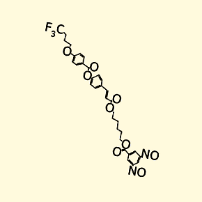 O=Nc1cc(N=O)cc(C(=O)OCCCCCCOC(=O)/C=C/c2ccc(OC(=O)c3ccc(OCCCC(F)(F)F)cc3)cc2)c1